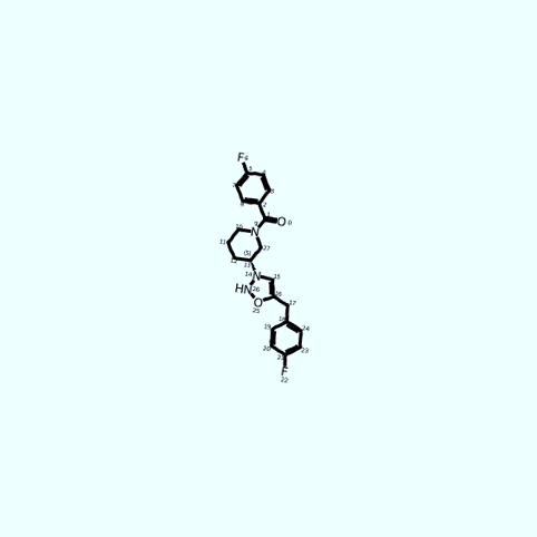 O=C(c1ccc(F)cc1)N1CCC[C@H](N2C=C(Cc3ccc(F)cc3)ON2)C1